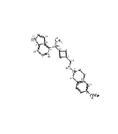 COc1ccc2c(n1)CCN(SCC1CC(N(C)c3ncnc4[nH]ccc34)C1)C2